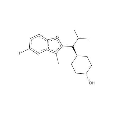 Cc1c(C(C(C)C)[C@@H]2C[CH][C@@H](O)CC2)oc2ccc(F)cc12